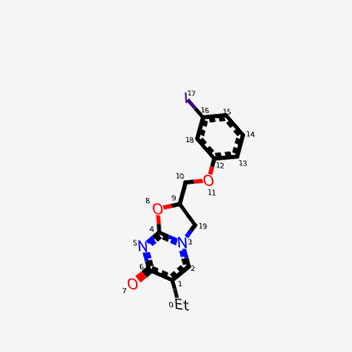 CCc1cn2c(nc1=O)OC(COc1cccc(I)c1)C2